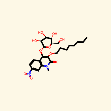 CCCCCCCCOc1c(O[C@@H]2O[C@H](CO)[C@@H](O)[C@H](O)[C@@H]2O)c2ccc([N+](=O)[O-])cc2n(C)c1=O